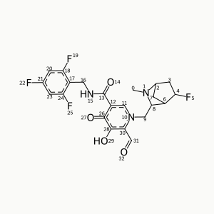 CN1C2CC(F)C(C2)C1Cn1cc(C(=O)NCc2c(F)cc(F)cc2F)c(=O)c(O)c1C=O